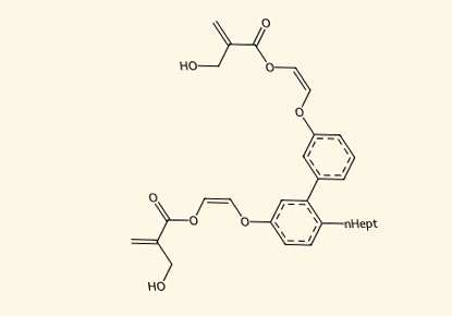 C=C(CO)C(=O)O/C=C\Oc1cccc(-c2cc(O/C=C\OC(=O)C(=C)CO)ccc2CCCCCCC)c1